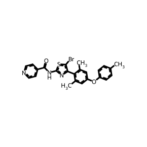 Cc1ccc(Oc2cc(C)c(-c3nc(NC(=O)c4ccncc4)sc3Br)c(C)c2)cc1